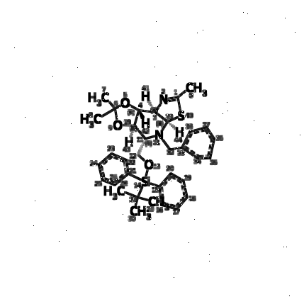 CC1=N[C@@H]2[C@H]3OC(C)(C)O[C@@H]3[C@@H](CO[Si](c3ccccc3)(c3ccccc3)C(C)(C)C)N(Cc3ccccc3)[C@@H]2S1